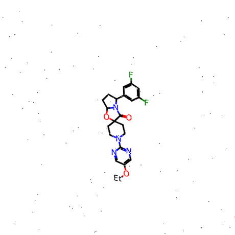 CCOc1cnc(N2CCC3(CC2)OC2CCC(c4cc(F)cc(F)c4)N2C3=O)nc1